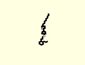 CCCCCCCCCc1ccc(-c2ccc(OCCCC3CCCCC3CCC)cc2)nc1